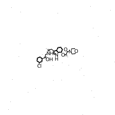 C[C@H](Cc1c[nH]c2c(O[C@@H](C)C(=O)N3CCOCC3)cccc12)NC[C@H](O)c1cccc(Cl)c1